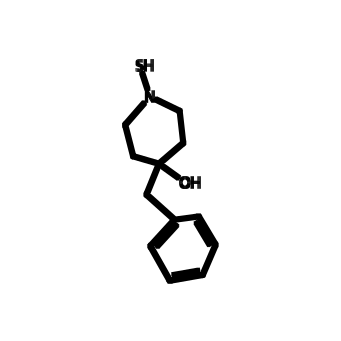 OC1(Cc2ccccc2)CCN(S)CC1